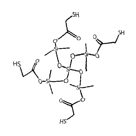 C[Si](C)(OC(=O)CS)O[Si](O[Si](C)(C)OC(=O)CS)(O[Si](C)(C)OC(=O)CS)O[Si](C)(C)OC(=O)CS